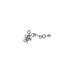 CCC(=O)O[C@H]1CCC[C@@H]1[C@](C#N)(c1ccccc1)C1CCN(CCCOc2ccc(C#N)cc2)CC1